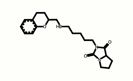 O=C1C2CCCN2C(=O)N1CCCCCBCC1CCc2ccccc2O1